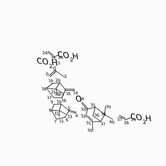 C=C(C)C(=O)O.C=C1CCC2CC1C2(C)C.C=C1CCC2CC1C2(C)C.C=CC(=O)O.C=CC(=O)O.CC1=CC(=O)C2CC1C2(C)C